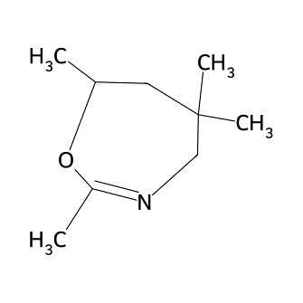 CC1=NCC(C)(C)CC(C)O1